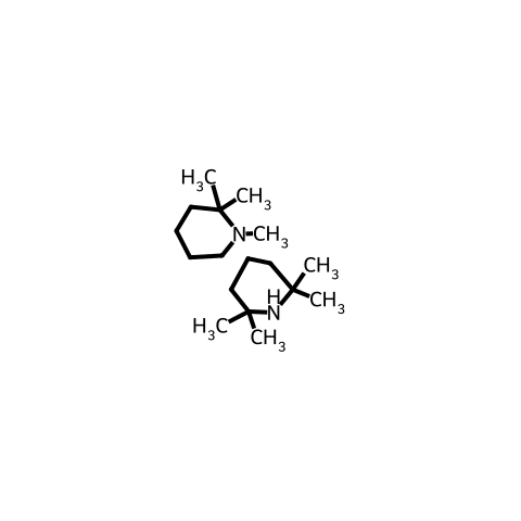 CC1(C)CCCC(C)(C)N1.CN1CCCCC1(C)C